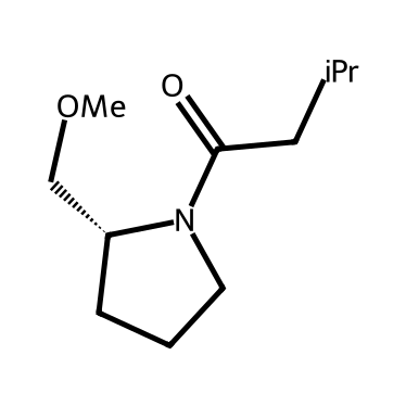 COC[C@H]1CCCN1C(=O)CC(C)C